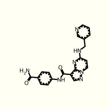 NC(=O)c1ccc(NC(=O)c2cnn3ccc(NCc4cccnc4)nc23)cc1